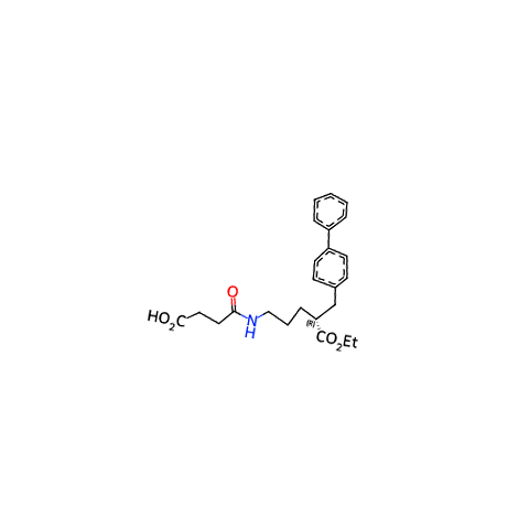 CCOC(=O)[C@H](CCCNC(=O)CCC(=O)O)Cc1ccc(-c2ccccc2)cc1